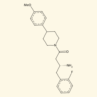 COc1ccc(C2CCN(C(=O)C[C@H](N)Cc3ccccc3F)CC2)cc1